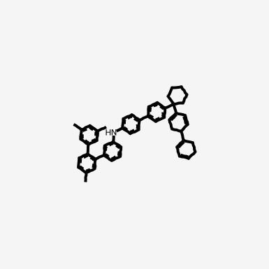 Cc1cc(C)cc(-c2ccc(C)cc2-c2cccc(Nc3ccc(-c4ccc(C5(C6=CCC(C7=CC=CCC7)C=C6)CCCCC5)cc4)cc3)c2)c1